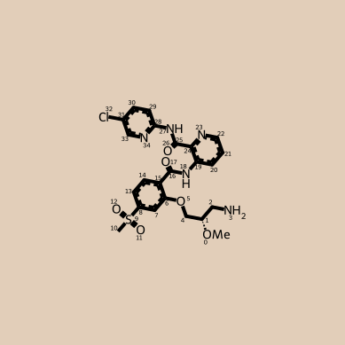 CO[C@@H](CN)COc1cc(S(C)(=O)=O)ccc1C(=O)Nc1cccnc1C(=O)Nc1ccc(Cl)cn1